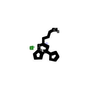 CCCC/C(C)=[CH]/[Zr+]([C]1=CC=CC1)[C]1=CC=CC1.[Cl-]